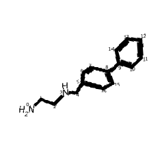 NCCNCc1ccc(-c2ccccc2)cc1